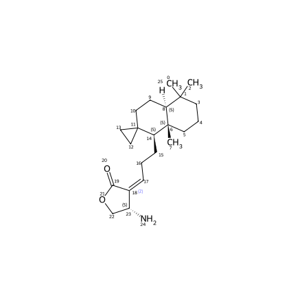 CC1(C)CCC[C@@]2(C)[C@H]1CCC1(CC1)[C@@H]2CC/C=C1\C(=O)OC[C@H]1N